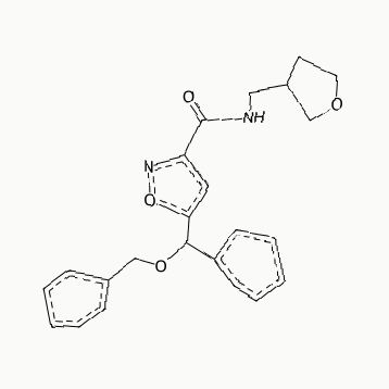 O=C(NCC1CCOC1)c1cc(C(OCc2ccccc2)c2ccccc2)on1